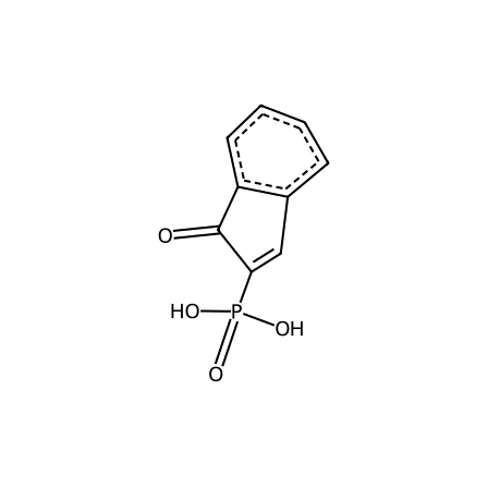 O=C1C(P(=O)(O)O)=Cc2ccccc21